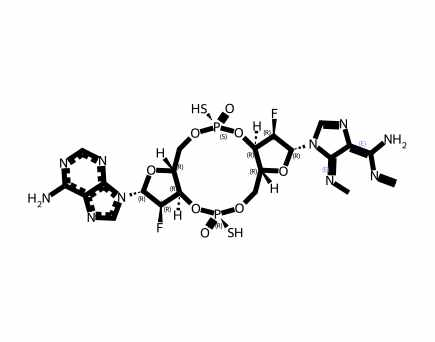 C=N/C(N)=C1/N=CN([C@@H]2O[C@@H]3CO[P@@](=O)(S)O[C@H]4[C@@H](F)[C@H](n5cnc6c(N)ncnc65)O[C@@H]4CO[P@](=O)(S)O[C@H]3[C@H]2F)/C1=N/C